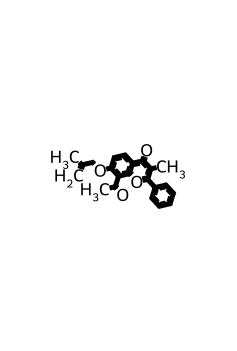 C=C(C)COc1ccc2c(=O)c(C)c(-c3ccccc3)oc2c1C(C)=O